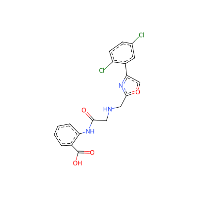 O=C(CNCc1nc(-c2cc(Cl)ccc2Cl)co1)Nc1ccccc1C(=O)O